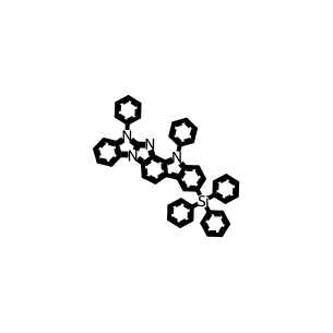 c1ccc(-n2c3ccc([Si](c4ccccc4)(c4ccccc4)c4ccccc4)cc3c3ccc4c(nc5n(-c6ccccc6)c6ccccc6n45)c32)cc1